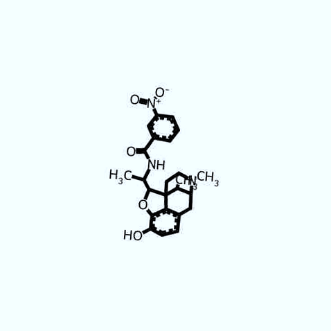 CC(NC(=O)c1cccc([N+](=O)[O-])c1)C1Oc2c(O)ccc3c2C12CCN(C)C(C3)C2C